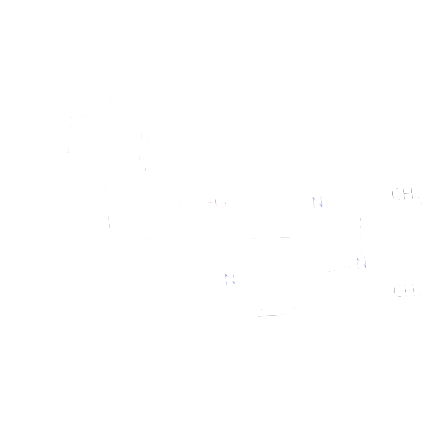 Cc1nc2c(OC3CCc4ccccc43)nccc2n1C